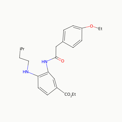 CCOC(=O)c1ccc(NCCC(C)C)c(NC(=O)Cc2ccc(OCC)cc2)c1